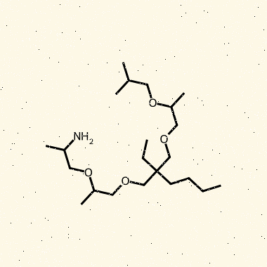 CCCCC(CC)(COCC(C)OCC(C)C)COCC(C)OCC(C)N